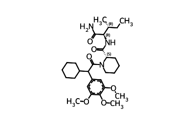 CC[C@@H](C)[C@@H](NC(=O)[C@@H]1CCCCN1C(=O)C(c1cc(OC)c(OC)c(OC)c1)C1CCCCC1)C(N)=O